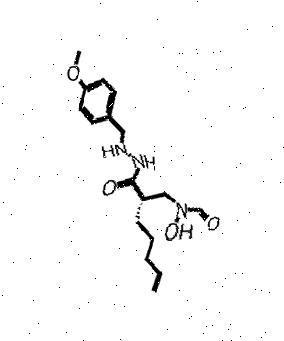 CCCCC[C@@H](CN(O)C=O)C(=O)NNCc1ccc(OC)cc1